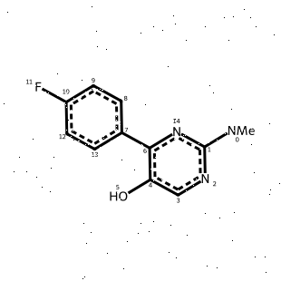 CNc1ncc(O)c(-c2ccc(F)cc2)n1